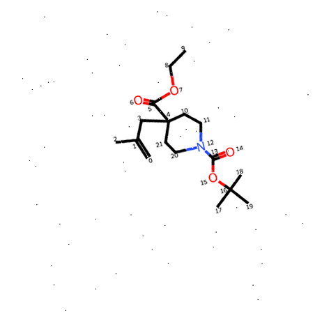 C=C(C)CC1(C(=O)OCC)CCN(C(=O)OC(C)(C)C)CC1